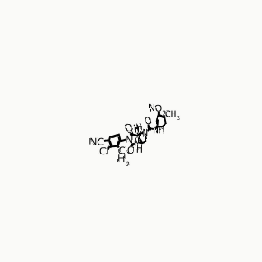 Cc1ccc(NC(=O)N2C[C@@H]3C[C@H]2[C@H]2C(=O)N(c4ccc(C#N)c(Cl)c4C)C(=O)N32)cc1[N+](=O)[O-]